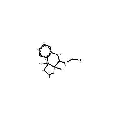 CCOC1Oc2ccccc2[C@H]2CNC[C@@H]12